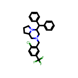 FC(F)(F)c1ccc(Cl)c(CN2CC3CCCN3C(C(c3ccccc3)c3ccccc3)C2)c1